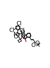 CNC1(c2onc(-c3c(Cl)cc(Cl)cc3Cl)c2C(=O)n2cc(C)c3c(/C=C/C(=O)OC(C)(C)C)cccc32)CCC1